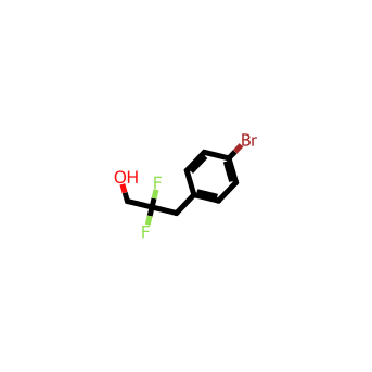 OCC(F)(F)Cc1ccc(Br)cc1